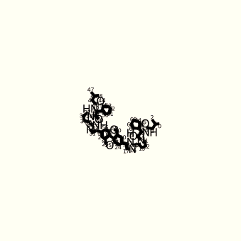 CC(C)CC(=O)N[C@@H](C(=O)N1CCC[C@H]1c1ncc(-c2cc3c4c(c2)OCc2cc(-c5cnc([C@@H]6CCCN6C(=O)[C@H](NC(=O)CC(C)C)c6ccccc6)[nH]5)cc(c2-4)OC3)[nH]1)c1ccccc1